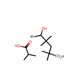 CC(C)C(=O)O.CC(C)C(O)C(C)(C)CC(C)(C)C(=O)O